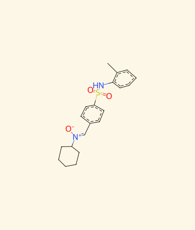 Cc1ccccc1NS(=O)(=O)c1ccc(C=[N+]([O-])C2CCCCC2)cc1